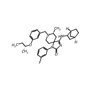 CC[C@@H](C)Oc1cccc(CN2CCC3(C[C@@H]2C)C(NC2C[C@@H]4CC[C@@H]2C4)=NC(=O)N3c2cccc(F)c2)c1